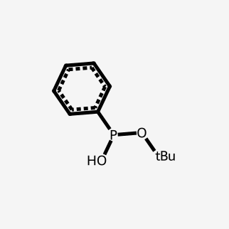 CC(C)(C)OP(O)c1ccccc1